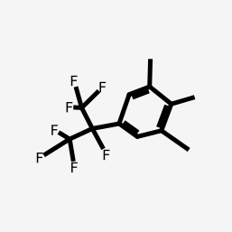 Cc1cc(C(F)(C(F)(F)F)C(F)(F)F)cc(C)c1C